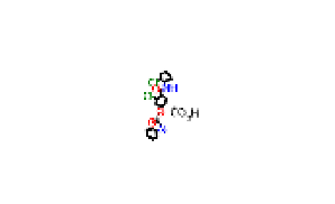 CC(=O)O.CN1C[C@@H](COc2ccc(C(=O)Nc3ccccc3Cl)c(Cl)c2)Oc2ccccc21